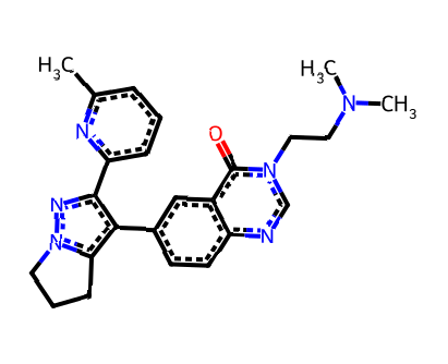 Cc1cccc(-c2nn3c(c2-c2ccc4ncn(CCN(C)C)c(=O)c4c2)CCC3)n1